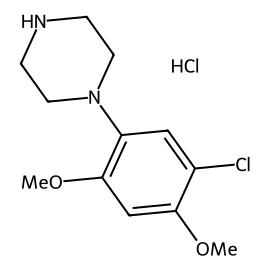 COc1cc(OC)c(N2CCNCC2)cc1Cl.Cl